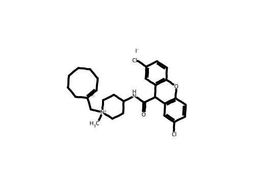 C[N+]1(C/C2=C/CCCCCC2)CCC(NC(=O)C2c3cc(Cl)ccc3Oc3ccc(Cl)cc32)CC1.[I-]